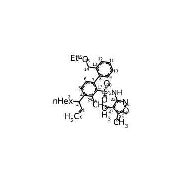 C=CC(CCCCCC)c1ccc(-c2ccccc2COCC)c(S(=O)(=O)Nc2noc(C)c2C)c1C